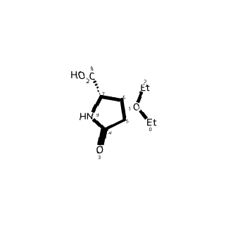 CCOCC.O=C1CC[C@@H](C(=O)O)N1